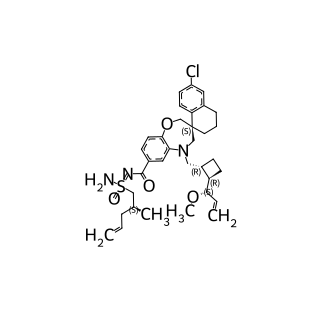 C=CC[C@H](C)CS(N)(=O)=NC(=O)c1ccc2c(c1)N(C[C@@H]1CC[C@H]1[C@H](C=C)OC)C[C@@]1(CCCc3cc(Cl)ccc31)CO2